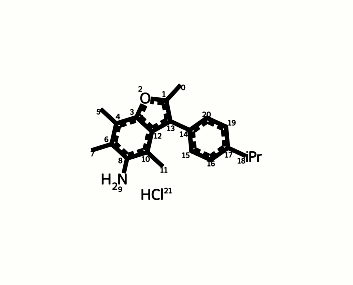 Cc1oc2c(C)c(C)c(N)c(C)c2c1-c1ccc(C(C)C)cc1.Cl